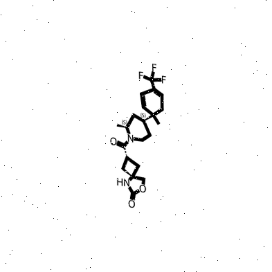 C[C@H]1C[C@@H](C2(C)C=CC(C(F)(F)F)=CC2)CCN1C(=O)[C@H]1C[C@]2(COC(=O)N2)C1